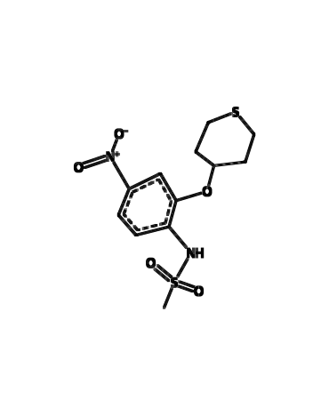 CS(=O)(=O)Nc1ccc([N+](=O)[O-])cc1OC1CCSCC1